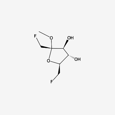 CO[C@@]1(CF)O[C@H](CF)[C@@H](O)[C@@H]1O